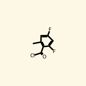 Cc1cc(F)cc(F)c1C(=O)Cl